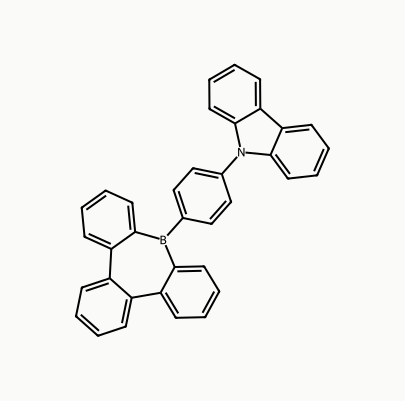 c1ccc2c(c1)B(c1ccc(-n3c4ccccc4c4ccccc43)cc1)c1ccccc1-c1ccccc1-2